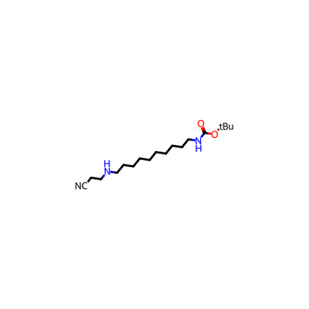 CC(C)(C)OC(=O)NCCCCCCCCCCNCCC#N